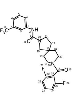 O=C(Nc1cccc(C(F)(F)F)c1)N1CCC2(CCN(C(=O)c3c(F)cccc3F)CC2)C1